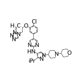 CC(C)c1nn(C2CCN(C3CCOCC3)CC2)cc1Nc1ncc(-c2ccc(Cl)c(O[C@@H](C)Cn3cnnn3)c2)cn1